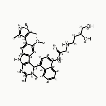 COc1cc2c3c([nH]c2cc1-c1c(C)noc1C)N=C(C)N(C)C3c1ccc(NC(=O)CNCC[C@H](O)CO)c2ccccc12